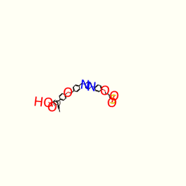 CC#C[C@@H](CC(=O)O)c1ccc(OCc2ccc(CN3CCN(c4ccc(OCCCS(C)(=O)=O)cc4)CC3)cc2)cc1